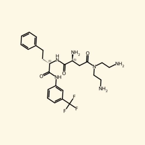 NCCN(CCN)C(=O)C[C@H](N)C(=O)N[C@@H](CCc1ccccc1)C(=O)Nc1cccc(C(F)(F)F)c1